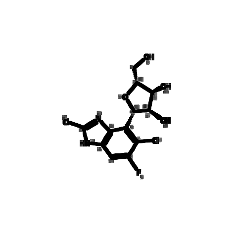 OC[C@H]1O[C@@H](c2c(Cl)c(F)cc3[nH]c(Cl)nc23)[C@H](O)[C@@H]1O